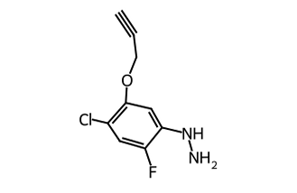 C#CCOc1cc(NN)c(F)cc1Cl